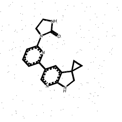 O=C1NCCN1c1cccc(-c2cnc3c(c2)C2(CC2)CN3)n1